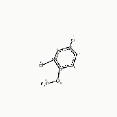 CCc1ccc(OC(F)(F)F)c(Cl)c1